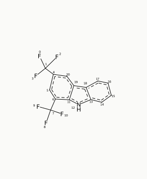 FC(F)(F)c1cc(C(F)(F)F)c2[nH]c3ccccc3c2c1